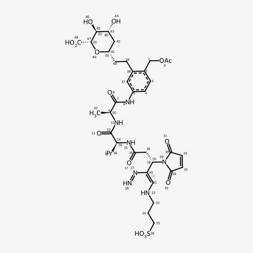 CC(=O)OCc1ccc(NC(=O)[C@H](C)NC(=O)[C@@H](NC(=O)C[C@@H](/C(=C/NCCCS(=O)(=O)O)N=N)N2C(=O)C=CC2=O)C(C)C)cc1CC[C@H]1C[C@@H](O)[C@H](O)[C@@H](C(=O)O)O1